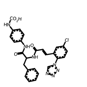 O=C(O)Nc1ccc(NC(=O)C(Cc2ccccc2)NC(=O)/C=C/c2cc(Cl)ccc2-n2cnnn2)cc1